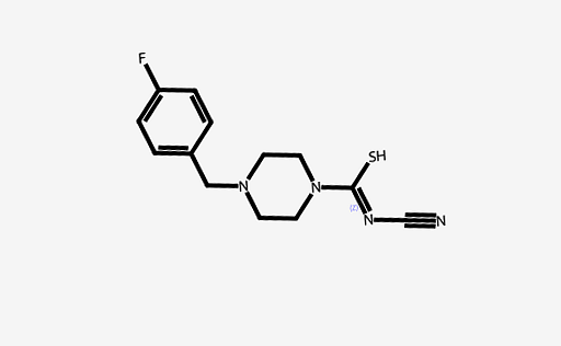 N#C/N=C(\S)N1CCN(Cc2ccc(F)cc2)CC1